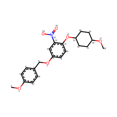 COc1ccc(COc2ccc(OC3CCC(OC)CC3)c([N+](=O)[O-])c2)cc1